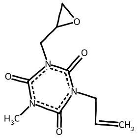 C=CCn1c(=O)n(C)c(=O)n(CC2CO2)c1=O